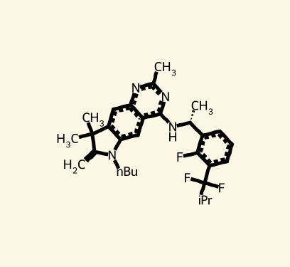 C=C1N(CCCC)c2cc3c(N[C@H](C)c4cccc(C(F)(F)C(C)C)c4F)nc(C)nc3cc2C1(C)C